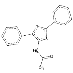 O=C(O)Nc1sc(-c2ccccc2)nc1-c1ccccc1